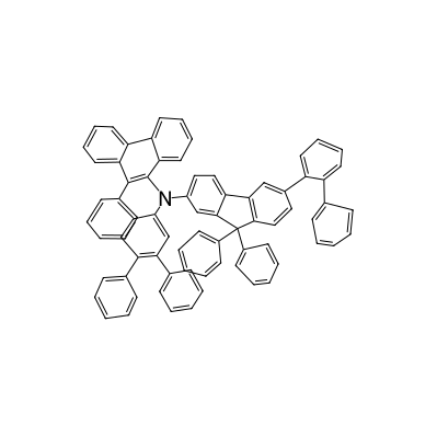 c1ccc(-c2ccccc2-c2ccc3c(c2)-c2ccc(N(c4ccc(-c5ccccc5)c(-c5ccccc5)c4)c4c(-c5ccccc5)c5ccccc5c5ccccc45)cc2C3(c2ccccc2)c2ccccc2)cc1